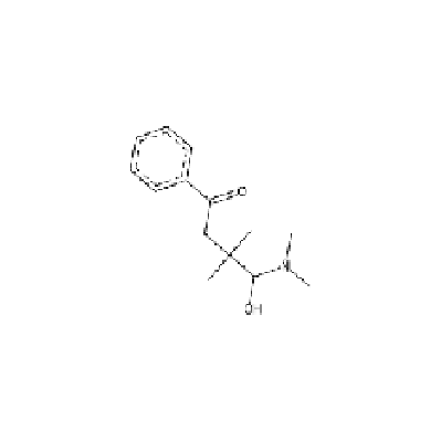 CN(C)C(O)C(C)(C)CC(=O)c1ccccc1